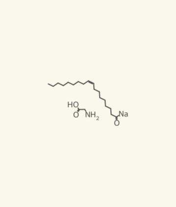 CCCCCCCC/C=C\CCCCCCC[C](=O)[Na].NCC(=O)O